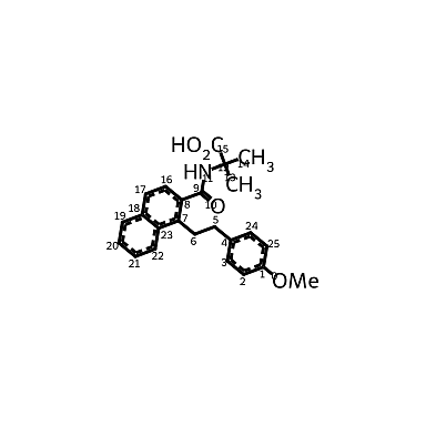 COc1ccc(CCc2c(C(=O)NC(C)(C)C(=O)O)ccc3ccccc23)cc1